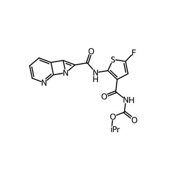 CC(C)OC(=O)NC(=O)c1cc(F)sc1NC(=O)c1c2c3cccnc3n1-2